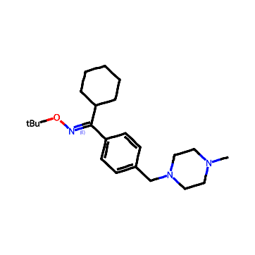 CN1CCN(Cc2ccc(/C(=N/OC(C)(C)C)C3CCCCC3)cc2)CC1